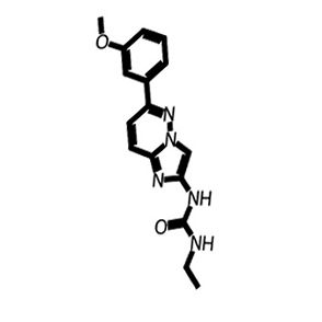 CCNC(=O)Nc1cn2nc(-c3cccc(OC)c3)ccc2n1